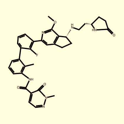 COc1nc(-c2cccc(-c3cccc(NC(=O)c4ccnn(C)c4=O)c3C)c2F)cc2c1[C@H](NCC[C@@H]1CCC(=O)N1)CC2